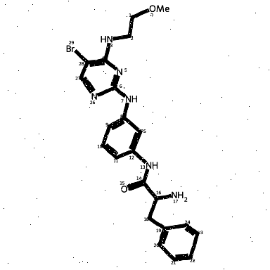 COCCNc1nc(Nc2cccc(NC(=O)C(N)Cc3ccccc3)c2)ncc1Br